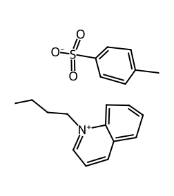 CCCC[n+]1cccc2ccccc21.Cc1ccc(S(=O)(=O)[O-])cc1